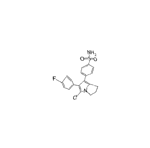 NS(=O)(=O)c1ccc(-c2c(-c3ccc(F)cc3)c(Cl)n3c2CCC3)cc1